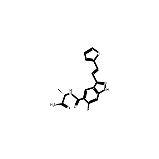 C[C@H](NC(=O)c1cc2c(/C=C/c3cccs3)n[nH]c2cc1F)C(N)=O